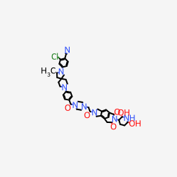 C[C@H]1CC2(CCN(c3ccc(C(=O)N4CCN(CC(=O)N5Cc6cc7cc(c6C5)CC(=O)N(C5CCC(O)NC5O)C7=O)CC4)cc3)CC2)CN1c1ccc(C#N)c(Cl)c1